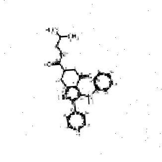 CC(C)CNC(=O)C1CC(=O)c2c([nH]c(-c3ccncc3)c2Nc2ccccc2)C1